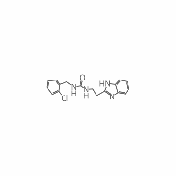 O=C(NCCc1nc2ccccc2[nH]1)NCc1ccccc1Cl